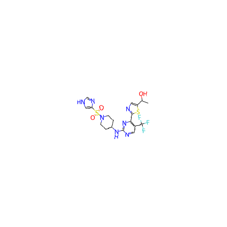 CC(O)c1cnc(-c2nc(NC3CCN(S(=O)(=O)c4c[nH]cn4)CC3)ncc2C(F)(F)F)s1